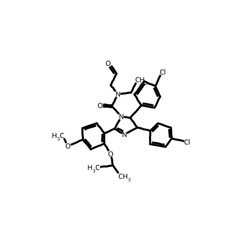 CCN(CC=O)C(=O)N1C(c2ccc(OC)cc2OC(C)C)=NC(c2ccc(Cl)cc2)C1c1ccc(Cl)cc1